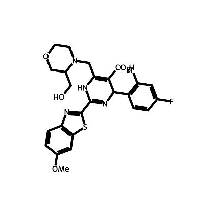 COc1ccc2nc(C3=NC(c4ccc(F)cc4Br)C(C(=O)O)=C(CN4CCOCC4CO)N3)sc2c1